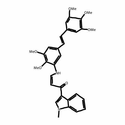 COc1cc(/C=C/c2cc(OC)c(OC)c(OC)c2)cc(N/C=C\C(=O)c2cn(C)c3ccccc23)c1OC